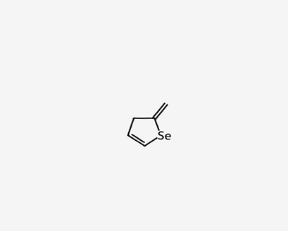 C=C1CC=C[Se]1